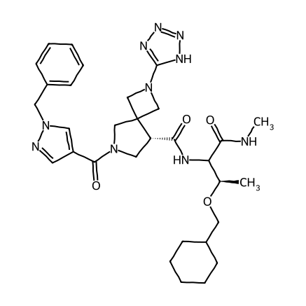 CNC(=O)C(NC(=O)[C@@H]1CN(C(=O)c2cnn(Cc3ccccc3)c2)CC12CN(c1nnn[nH]1)C2)[C@@H](C)OCC1CCCCC1